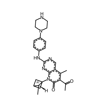 CC(=O)c1c(C)c2cnc(Nc3ccc(N4CCNCC4)cc3)nc2n(C23CC(C2)[C@H]3C)c1=O